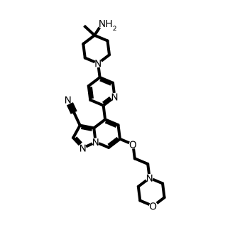 CC1(N)CCN(c2ccc(-c3cc(OCCN4CCOCC4)cn4ncc(C#N)c34)nc2)CC1